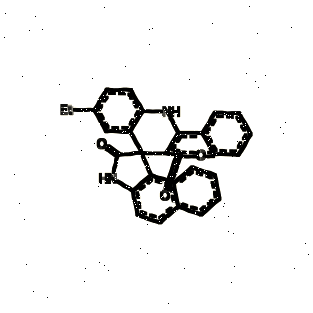 CCc1ccc2c(c1)C1(C(=O)Nc3ccc4ccccc4c31)c1c(c3ccccc3oc1=O)N2